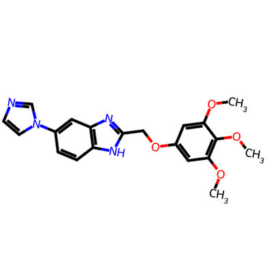 COc1cc(OCc2nc3cc(-n4ccnc4)ccc3[nH]2)cc(OC)c1OC